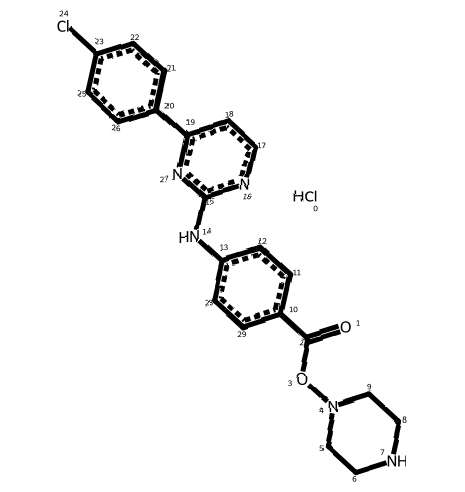 Cl.O=C(ON1CCNCC1)c1ccc(Nc2nccc(-c3ccc(Cl)cc3)n2)cc1